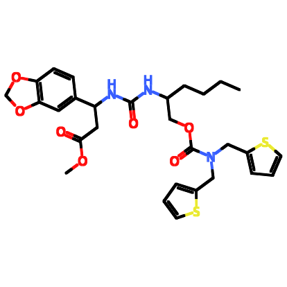 CCCCC(COC(=O)N(Cc1cccs1)Cc1cccs1)NC(=O)NC(CC(=O)OC)c1ccc2c(c1)OCO2